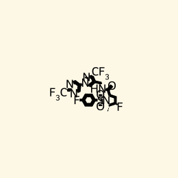 C[C@H]1[C@H](F)CC(C(=O)NCc2cn(-c3cnc(C(F)(F)F)nc3)nc2C(F)(F)F)N1S(=O)(=O)c1ccc(F)cc1